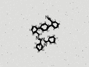 N#Cc1ccccc1-c1ccc(-c2ccccc2C/N=C(\N=C(/N)c2ccccc2)c2ccccc2)cc1